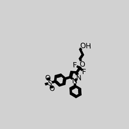 CS(=O)(=O)c1ccc(-c2cc(C(F)(F)OCCCO)nn2-c2ccccc2)cc1